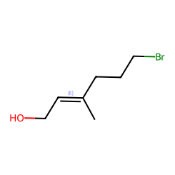 C/C(=C\CO)CCCBr